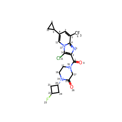 O=C(c1nc2c(C(F)(F)F)cc(C3CC3)cn2c1Cl)N1CCN([C@H]2C[C@H](F)C2)C(=O)C1